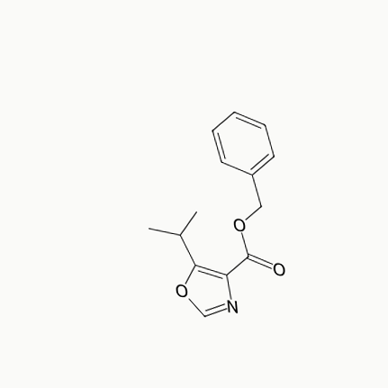 CC(C)c1ocnc1C(=O)OCc1ccccc1